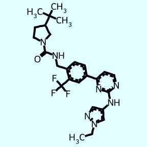 CCn1cc(Nc2nccc(-c3ccc(CNC(=O)N4CCC(C(C)(C)C)C4)c(C(F)(F)F)c3)n2)cn1